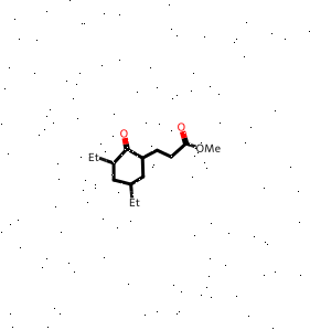 CCC1CC(CC)C(=O)C(CCC(=O)OC)C1